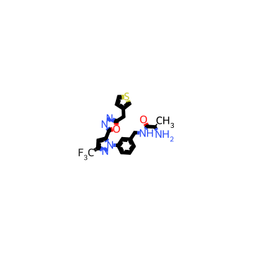 C[C@H](N)C(=O)NCc1cccc(-n2nc(C(F)(F)F)cc2-c2nnc(Cc3ccsc3)o2)c1